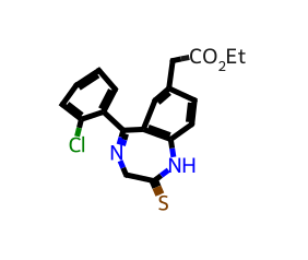 CCOC(=O)Cc1ccc2c(c1)C(c1ccccc1Cl)=NCC(=S)N2